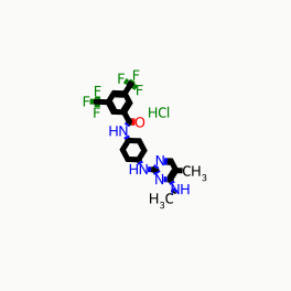 CNc1nc(NC2CCC(NC(=O)c3cc(C(F)(F)F)cc(C(F)(F)F)c3)CC2)ncc1C.Cl